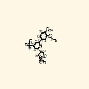 CCOc1cc(-c2cc(C(F)(F)F)cc([C@@H]3COB(O)C3)n2)ccc1OC